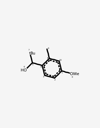 COc1ccc(C(O)C(C)(C)C)c(C)c1